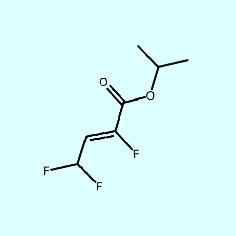 CC(C)OC(=O)C(F)=CC(F)F